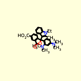 CCn1c(C)c(C2(c3ccc(N(C)C)cc3N(C)C)OC(=O)c3cc(C(=O)O)ccc32)c2ccccc21